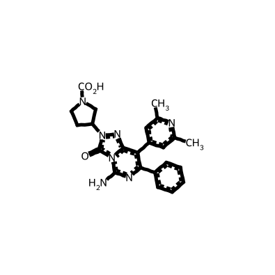 Cc1cc(-c2c(-c3ccccc3)nc(N)n3c(=O)n(C4CCN(C(=O)O)C4)nc23)cc(C)n1